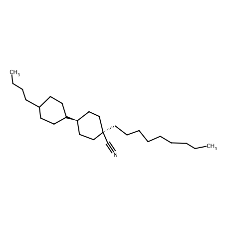 CCCCCCCCC[C@]1(C#N)CC[C@@H](C2CCC(CCCC)CC2)CC1